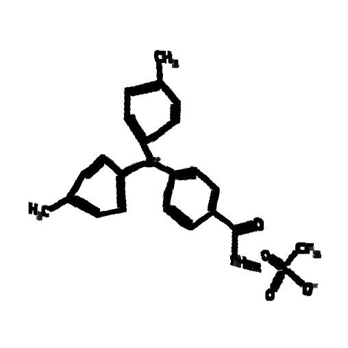 CCCCCCC(=O)c1ccc([S+](c2ccc(C)cc2)c2ccc(C)cc2)cc1.O=S(=O)([O-])C(F)(F)F